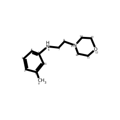 Cc1cccc(NCCN2CCOCC2)c1